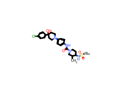 CC1CN(C(=O)Nc2ccc(N3CCC(O)(c4ccc(Cl)cc4)CC3)cc2)CCC1NS(=O)(=O)C(C)(C)C